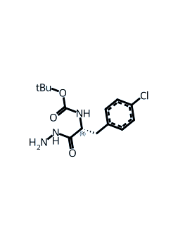 CC(C)(C)OC(=O)N[C@H](Cc1ccc(Cl)cc1)C(=O)NN